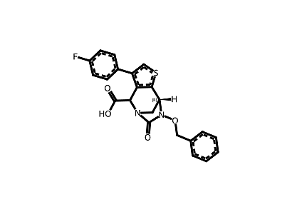 O=C(O)C1c2c(-c3ccc(F)cc3)csc2[C@H]2CN1C(=O)N2OCc1ccccc1